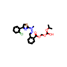 CC(C)OC(O)OCOC(=O)c1ccccc1/C=N/N(C)c1nc(-c2ccccc2Cl)cs1